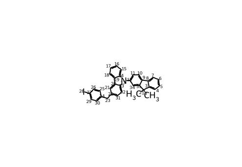 CC1(C)c2ccccc2-c2ccc(-n3c4ccccc4c4cc(Cc5ccc(I)cc5)ccc43)cc21